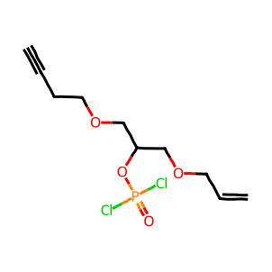 C#CCCOCC(COCC=C)OP(=O)(Cl)Cl